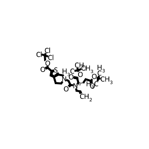 C=CCN(C(=O)CN1CCc2cc(C(=O)OCC(Cl)(Cl)Cl)sc2C1)[C@@H](CCC(=O)OC(C)(C)C)C(=O)OC(C)(C)C